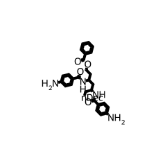 CCCCCCCCCCCC(CC(CCOC(=O)c1ccccc1)NC(=O)c1ccc(N)cc1)NC(=O)c1ccc(N)cc1